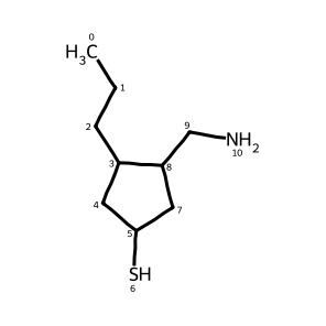 CCCC1CC(S)CC1CN